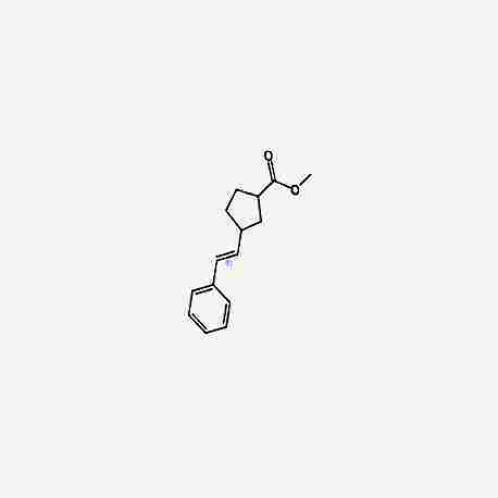 COC(=O)C1CCC(/C=C/c2ccccc2)C1